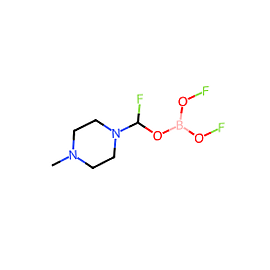 CN1CCN(C(F)OB(OF)OF)CC1